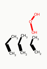 C=CC.C=CC.C=CC.OOO